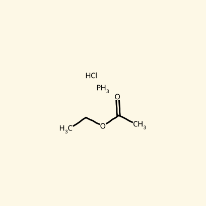 CCOC(C)=O.Cl.P